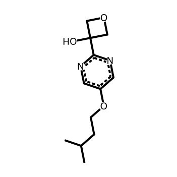 CC(C)CCOc1cnc(C2(O)COC2)nc1